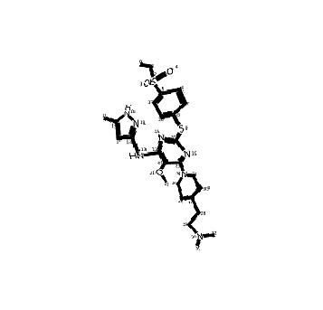 CCS(=O)(=O)c1ccc(Sc2nc(Nc3cc(C)[nH]n3)c(OC)c(N3CCC(CCN(C)C)CC3)n2)cc1